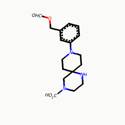 O=COCc1cccc(N2CCC3(CC2)CN(C(=O)O)CCN3)c1